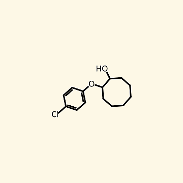 OC1CCCCCCC1Oc1ccc(Cl)cc1